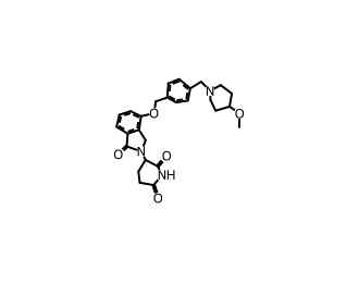 COC1CCN(Cc2ccc(COc3cccc4c3CN(C3CCC(=O)NC3=O)C4=O)cc2)CC1